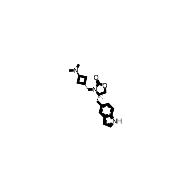 CN(C)[C@H]1C[C@H](CN2C(=O)OC[C@@H]2Cc2ccc3[nH]ccc3c2)C1